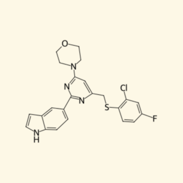 Fc1ccc(SCc2cc(N3CCOCC3)nc(-c3ccc4[nH]ccc4c3)n2)c(Cl)c1